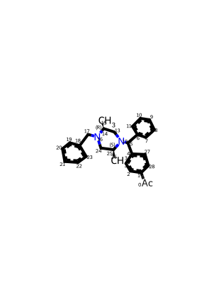 CC(=O)c1ccc(C(c2ccccc2)N2C[C@@H](C)N(Cc3ccccc3)C[C@@H]2C)cc1